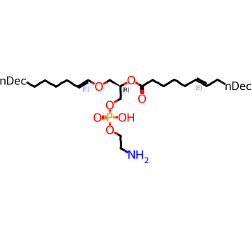 CCCCCCCCCCC/C=C/CCCCC(=O)O[C@H](CO/C=C/CCCCCCCCCCCCCC)COP(=O)(O)OCCN